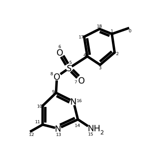 Cc1ccc(S(=O)(=O)Oc2cc(C)nc(N)n2)cc1